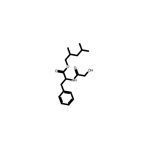 CC(C)CC(C)COC(=O)C(Cc1ccccc1)NC(=O)CO